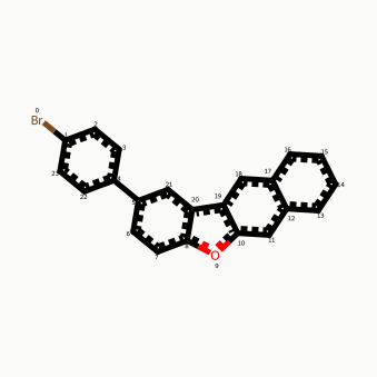 Brc1ccc(-c2ccc3oc4cc5ccccc5cc4c3c2)cc1